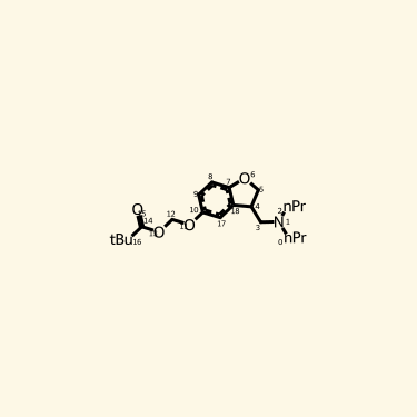 CCCN(CCC)CC1COc2ccc(OCOC(=O)C(C)(C)C)cc21